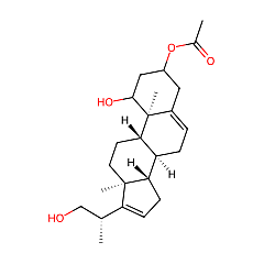 CC(=O)OC1CC2=CC[C@H]3[C@@H]4CC=C([C@H](C)CO)[C@@]4(C)CC[C@@H]3[C@@]2(C)C(O)C1